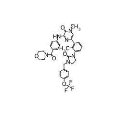 Cc1c(-c2cn(C)c(=O)c(Nc3ccc(C(=O)N4CCOCC4)cc3)n2)cccc1N1CCN(Cc2ccc(OC(F)(F)F)cc2)C1=O